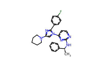 C[C@H](Nc1nccc(-n2cc(N3CCCCC3)nc2-c2ccc(F)cc2)n1)c1ccccc1